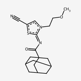 COCCn1cc(C#N)sc1=NC(=O)C12CC3CC(CC(C3)C1)C2